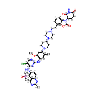 CCOc1cc(N2CCC(N3CCN(CCc4cccc5c4oc(=O)n5C4CCC(=O)NC4=O)CC3)CC2)c(CC)cc1Nc1ncc(Br)c(Nc2ccc3nc(CC)ncc3c2P(C)(C)=O)n1